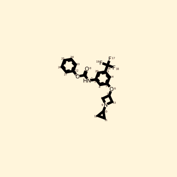 O=C(Nc1cc(OC2CN(C3CC3)C2)cc(C(F)(F)F)c1)Oc1ccccc1